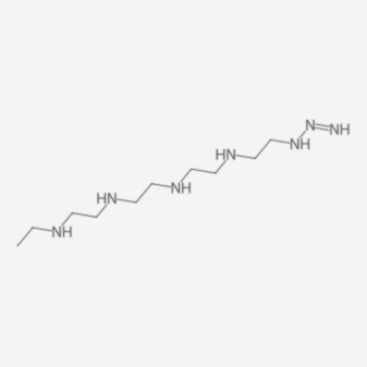 CCNCCNCCNCCNCCNN=N